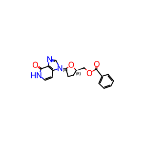 O=C(OC[C@H]1CC[C@H](n2cnc3c(=O)[nH]ccc32)O1)c1ccccc1